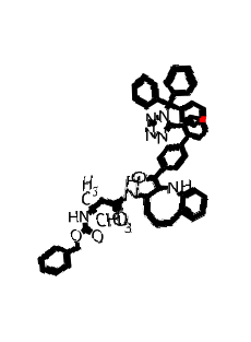 CC(C)(CC(=O)NC1CCCc2ccccc2NC1C(=O)c1ccc(-c2ccccc2-c2nnnn2C(c2ccccc2)(c2ccccc2)c2ccccc2)cc1)NC(=O)OCc1ccccc1